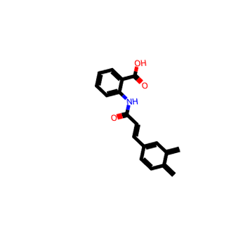 C=c1ccc(C=CC(=O)Nc2ccccc2C(=O)O)cc1=C